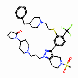 CS(=O)(=O)N1CCc2c(c(-c3ccc(C(F)(F)F)c(SCCN4CCC(Cc5ccccc5)CC4)c3)nn2CCCN2CCC(N3CCCC3=O)CC2)C1